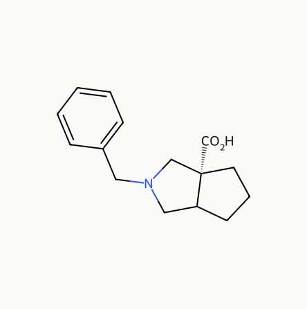 O=C(O)[C@]12CCCC1CN(Cc1ccccc1)C2